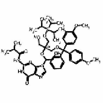 COc1ccc(C(OC[C@@](CO)(CO[Si](C(C)C)(C(C)C)C(C)C)OC(CO)n2cnc3c(=O)[nH]c(NC(=O)C(C)C)nc32)(c2ccccc2)c2ccc(OC)cc2)cc1